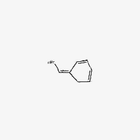 CCCC=C1[C]=CC=[C]C1